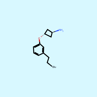 CC(C)(C)CCc1cccc(O[C@H]2C[C@H](N)C2)c1